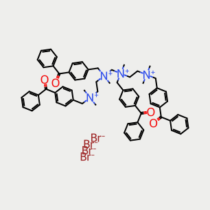 C[N+](C)(CC[N+](C)(Cc1ccc(C(=O)c2ccccc2)cc1)C[N+](C)(CC[N+](C)(C)Cc1ccc(C(=O)c2ccccc2)cc1)Cc1ccc(C(=O)c2ccccc2)cc1)Cc1ccc(C(=O)c2ccccc2)cc1.[Br-].[Br-].[Br-].[Br-]